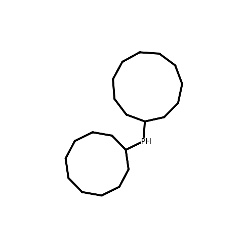 C1CCCCCC(PC2CCCCCCCCC2)CCCC1